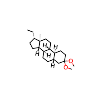 CC[C@H]1CC[C@H]2[C@@H]3CC[C@H]4CC(OC)(OC)CC[C@@H]4[C@H]3CC[C@]12C